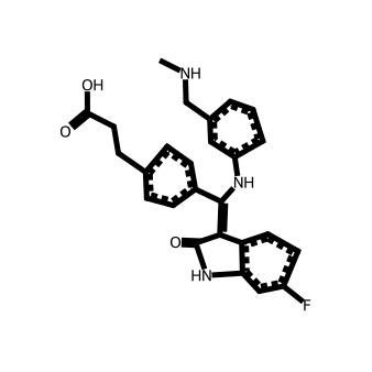 CNCc1cccc(NC(=C2C(=O)Nc3cc(F)ccc32)c2ccc(CCC(=O)O)cc2)c1